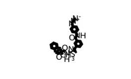 CC1(C(=O)Nc2nc(-c3cccc(C(=O)Nc4ccc(N=[N+]=[N-])cc4)c3)cs2)CC2C(=O)CC1c1ccccc12